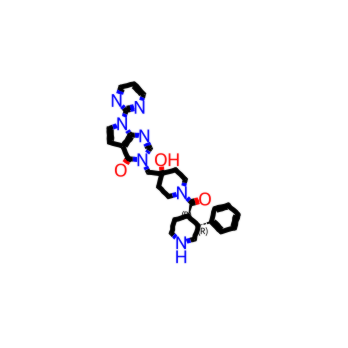 O=C([C@@H]1CCNC[C@H]1c1ccccc1)N1CCC(O)(Cn2cnc3c(ccn3-c3ncccn3)c2=O)CC1